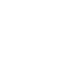 CCCC(C(=O)OC)c1c(C)nc2nc(C(C)C)nn2c1Cl